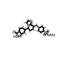 CNS(=O)(=O)c1ccc(Cc2ccc(-c3ccc4c(c3)CNC4=O)n3ccnc23)cc1